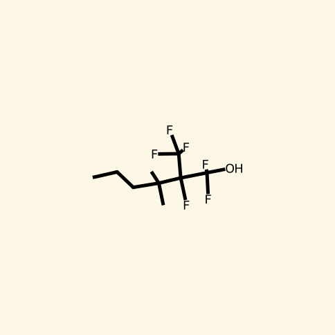 CCCC(C)(C)C(F)(C(O)(F)F)C(F)(F)F